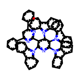 c1ccc(-c2cc(-c3ccccc3)nc(-c3c(-n4c5ccccc5c5ccccc54)nc(-n4c5ccccc5c5ccccc54)c(-n4c5ccccc5c5ccccc54)c3-n3c4ccccc4c4ccccc43)n2)cc1